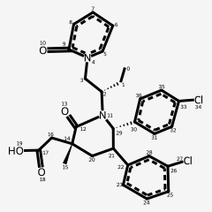 CC[C@@H](Cn1ccccc1=O)N1C(=O)[C@@](C)(CC(=O)O)CC(c2cccc(Cl)c2)[C@H]1c1ccc(Cl)cc1